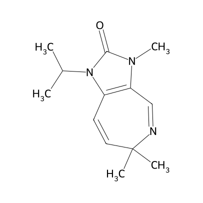 CC(C)n1c2c(n(C)c1=O)C=NC(C)(C)C=C2